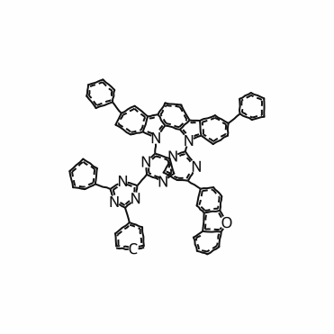 c1ccc(-c2ccc3c(c2)c2ccc4c5cc(-c6ccccc6)ccc5n(-c5nccc(-c6ccc7oc8ccccc8c7c6)n5)c4c2n3-c2ccnc(-c3nc(-c4ccccc4)nc(-c4ccccc4)n3)n2)cc1